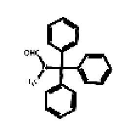 CN(C=O)C(c1ccccc1)(c1ccccc1)c1ccccc1